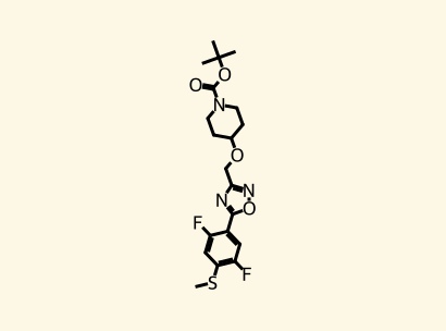 CSc1cc(F)c(-c2nc(COC3CCN(C(=O)OC(C)(C)C)CC3)no2)cc1F